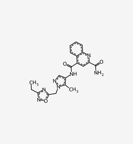 CCc1noc(Cn2ncc(NC(=O)c3cc(C(N)=O)nc4ccccc34)c2C)n1